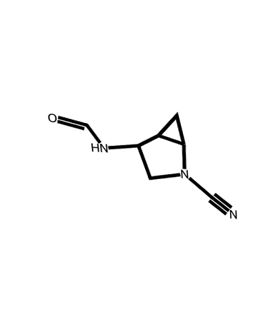 N#CN1CC(NC=O)C2CC21